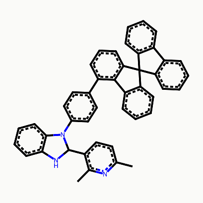 Cc1ccc(C2Nc3ccccc3N2c2ccc(-c3cccc4c3-c3ccccc3C43c4ccccc4-c4ccccc43)cc2)c(C)n1